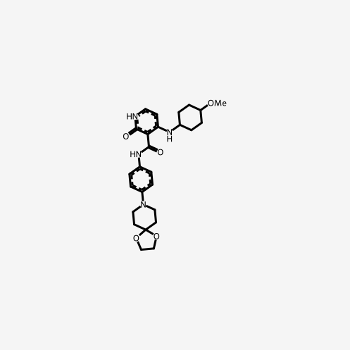 COC1CCC(Nc2cc[nH]c(=O)c2C(=O)Nc2ccc(N3CCC4(CC3)OCCO4)cc2)CC1